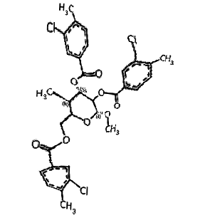 CO[C@@H]1OC(COC(=O)c2ccc(C)c(Cl)c2)[C@@H](C)[C@H](OC(=O)c2ccc(C)c(Cl)c2)C1OC(=O)c1ccc(C)c(Cl)c1